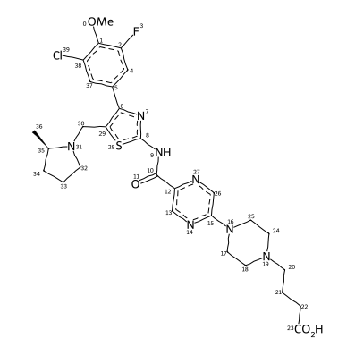 COc1c(F)cc(-c2nc(NC(=O)c3cnc(N4CCN(CCCC(=O)O)CC4)cn3)sc2CN2CCC[C@H]2C)cc1Cl